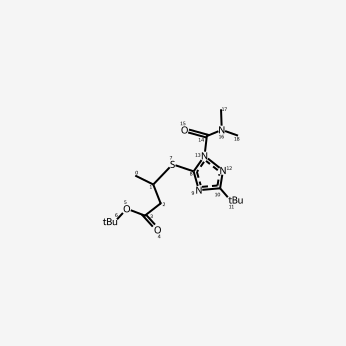 CC(CC(=O)OC(C)(C)C)Sc1nc(C(C)(C)C)nn1C(=O)N(C)C